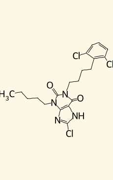 CCCCCn1c(=O)n(CCCCc2c(Cl)cccc2Cl)c(=O)c2[nH]c(Cl)nc21